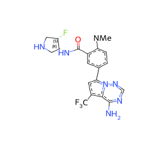 CNc1ccc(-c2cc(C(F)(F)F)c3c(N)ncnn23)cc1C(=O)N[C@@H]1CNC[C@@H]1F